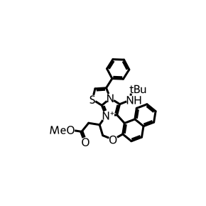 COC(=O)CC1COc2ccc3ccccc3c2-c2c(NC(C)(C)C)n3c(-c4ccccc4)csc3[n+]21